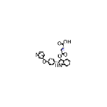 O=C(O)/C=C/C(=O)Oc1c(-c2ccc(OC3CN4CCC3CC4)cc2)[nH]c2ccccc12